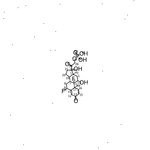 CC12CC(O)[C@@]3(F)C(C[C@H](F)C4=CC(=O)C=CC43C)C1CCC2(O)C(=O)COP(=O)(O)O